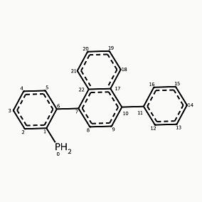 Pc1ccccc1-c1ccc(-c2ccccc2)c2ccccc12